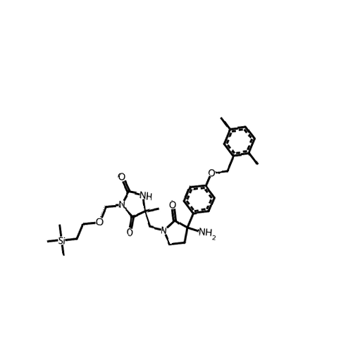 Cc1ccc(C)c(COc2ccc(C3(N)CCN(CC4(C)NC(=O)N(COCC[Si](C)(C)C)C4=O)C3=O)cc2)c1